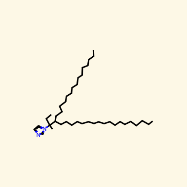 CCCCCCCCCCCCCCCCCCC(CCCCCCCCCCCCCCC)C(C)(CC)n1ccnc1